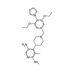 CCOc1cc(CN2CCC(c3c(N)cnc(N)c3C)CC2)cc(OCC)c1-n1cccc1